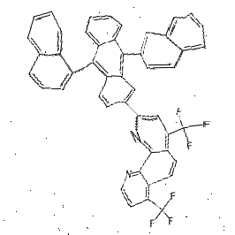 FC(F)(F)c1ccnc2c1ccc1c(C(F)(F)F)cc(-c3ccc4c(-c5cccc6ccccc56)c5ccccc5c(-c5ccc6ccccc6c5)c4c3)nc12